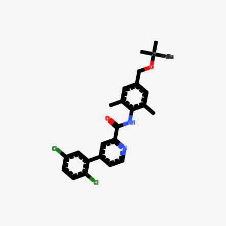 Cc1cc(CO[Si](C)(C)C(C)(C)C)cc(C)c1NC(=O)c1cc(-c2cc(Cl)ccc2Cl)ccn1